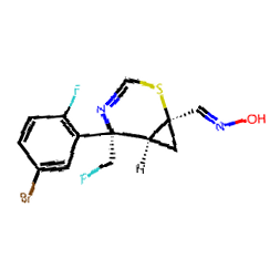 O/N=C/[C@]12C[C@H]1[C@@](CF)(c1cc(Br)ccc1F)N=[C]S2